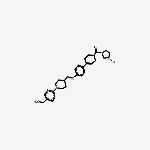 CCc1cnc(N2CCC(COc3ccc(C4=CCC(C(=O)N5CC[C@H](O)C5)CC4)cc3)CC2)nc1